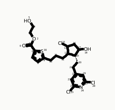 O=C(OCCO)c1ccc(CCCC2C(Cl)CC(O)[C@@H]2CCc2cc(Cl)nc(Cl)c2)s1